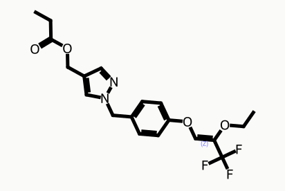 CCO/C(=C\Oc1ccc(Cn2cc(COC(=O)CC)cn2)cc1)C(F)(F)F